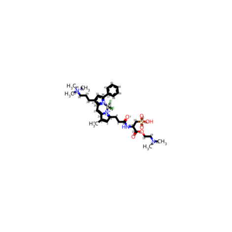 CC1=CC(CCC(=O)NC(CS(=O)(=O)O)C(=O)OCCN(C)C)=[N+]2C1=Cc1c(CCC[N+](C)(C)C)cc(-c3ccccc3)n1[B-]2(F)F